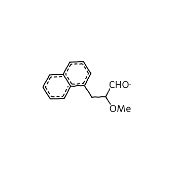 COC([C]=O)Cc1cccc2ccccc12